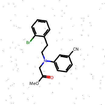 COC(=O)CN(CCc1ccccc1Br)c1cccc(C#N)c1